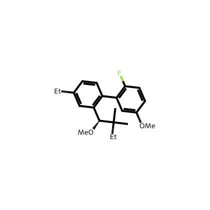 CCc1ccc(-c2cc(OC)ccc2F)c([C@H](OC)C(C)(C)CC)c1